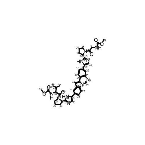 COC(=O)NCC(=O)N1CCC[C@H]1c1ncc(-c2ccc3c(c2)ncn2c4ccc(-c5cnc([C@@H]6CCCN6C(=O)C(NC(=O)OC)C(C)C)[nH]5)cc4cc32)[nH]1